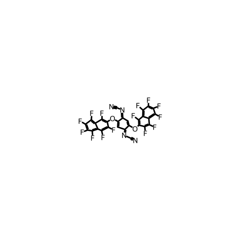 N#C/N=C1C=C(Oc2c(F)c(F)c3c(F)c(F)c(F)c(F)c3c2F)/C(=N\C#N)C=C/1Oc1c(F)c(F)c2c(F)c(F)c(F)c(F)c2c1F